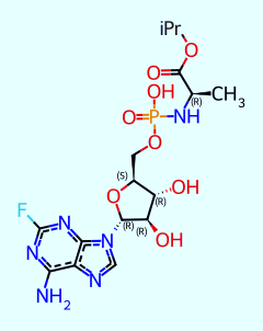 CC(C)OC(=O)[C@@H](C)NP(=O)(O)OC[C@@H]1O[C@@H](n2cnc3c(N)nc(F)nc32)[C@H](O)[C@H]1O